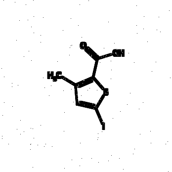 Cc1cc(I)sc1C(=O)O